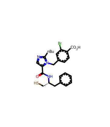 CCCCc1ncc(C(=O)N[C@@H](CS)Cc2ccccc2)n1Cc1ccc(C(=O)O)c(Br)c1